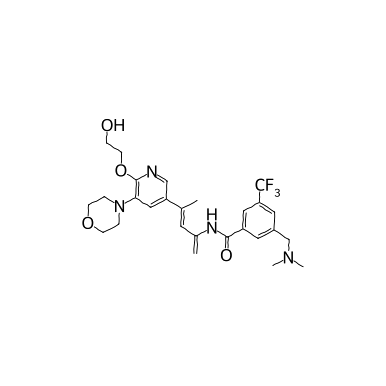 C=C(/C=C(\C)c1cnc(OCCO)c(N2CCOCC2)c1)NC(=O)c1cc(CN(C)C)cc(C(F)(F)F)c1